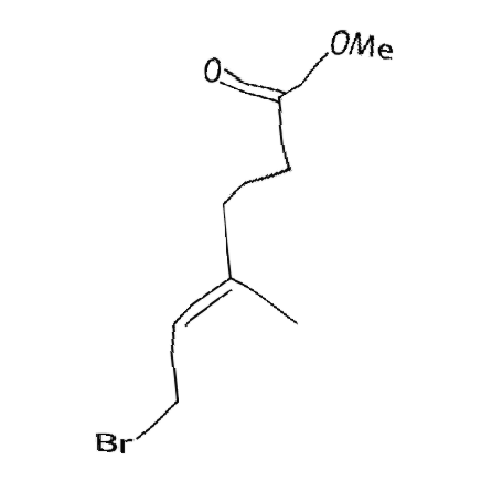 COC(=O)CC/C(C)=C/CBr